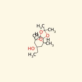 CC[C@@]1(O)C[C@@]2(C)O[C@@](C)(C1)[C@@H]1OC(C)(C)O[C@@H]12